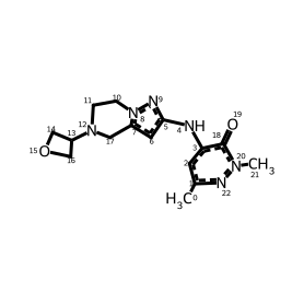 Cc1cc(Nc2cc3n(n2)CCN(C2COC2)C3)c(=O)n(C)n1